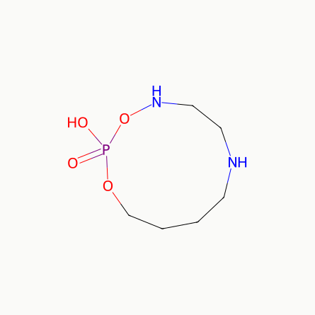 O=P1(O)OCCCCNCCNO1